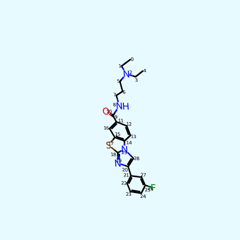 CCN(CC)CCCNC(=O)c1ccc2c(c1)sc1nc(-c3cccc(F)c3)cn12